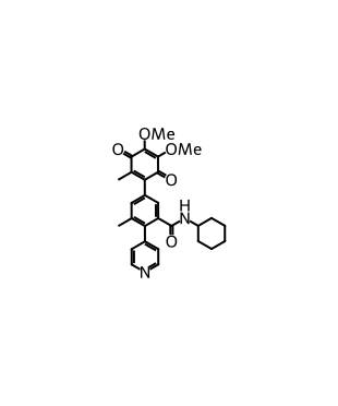 COC1=C(OC)C(=O)C(c2cc(C)c(-c3ccncc3)c(C(=O)NC3CCCCC3)c2)=C(C)C1=O